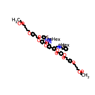 C=CC(=O)OCCCCCCOc1ccc(CCC(=O)OC2CCC(C(=O)Oc3ccc(-c4ccc(OC(=O)C5CCC(OC(=O)CCc6ccc(OCCCCCCOC(=O)C=C)cc6)CC5)c(/C=N/N(CCCCCC)C5Cc6ccccc6S5)c4)cc3/C=N/N(CCCCCC)c3nc4ccccc4s3)CC2)cc1